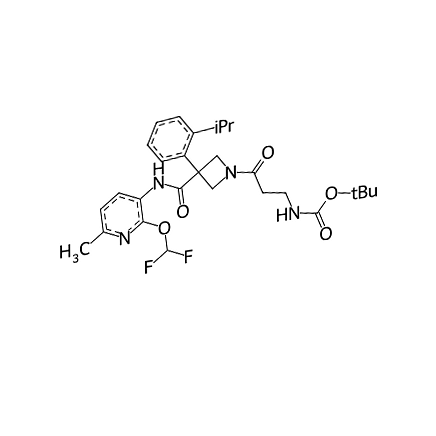 Cc1ccc(NC(=O)C2(c3ccccc3C(C)C)CN(C(=O)CCNC(=O)OC(C)(C)C)C2)c(OC(F)F)n1